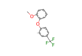 COc1ccccc1Oc1[c]cc(C(F)(F)F)cc1